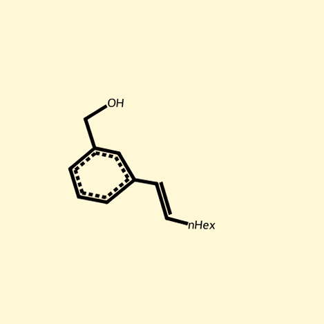 CCCCCCC=Cc1cccc(CO)c1